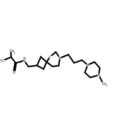 CC(C)C(=O)NCC1CC2(CCN(CCCN3CCN(C)CC3)CC2)C1